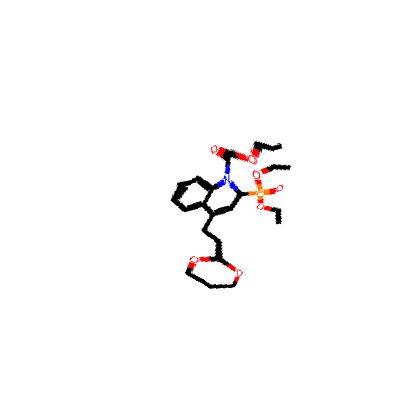 CCOC(=O)N1c2ccccc2C(CCC2OCCCO2)=CC1P(=O)(OCC)OCC